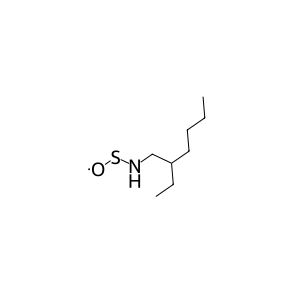 CCCCC(CC)CNS[O]